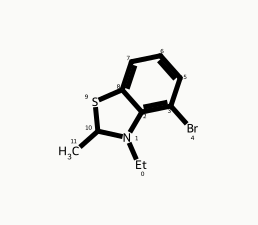 CCN1c2c(Br)cccc2SC1C